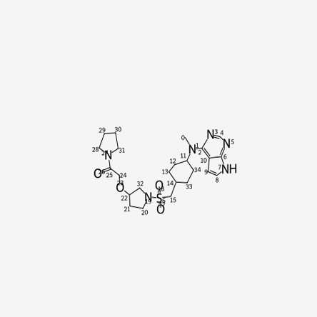 CN(c1ncnc2[nH]ccc12)C1CCC(CS(=O)(=O)N2CCC(OCC(=O)N3CCCC3)C2)CC1